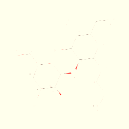 CC(=O)OCC1OC(OCOC=O)[C@@H](O[C@@H]2OC(CO)[C@@H](O)C(O)[C@@H]2O)C(O)[C@@H]1O